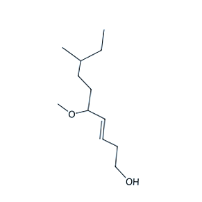 CCC(C)CCC(/C=C/CCO)OC